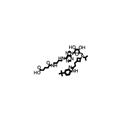 CC(C)N(C[C@H]1O[C@@H](n2cnc3c(NCCCCNC(=O)CCCC(=O)O)ncnc32)[C@H](O)[C@@H]1O)C1CC(CCc2nc3cc(C(C)(C)C)ccc3[nH]2)C1